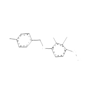 CCOc1ccc(OCc2ccc(C)cc2)c(C)c1C